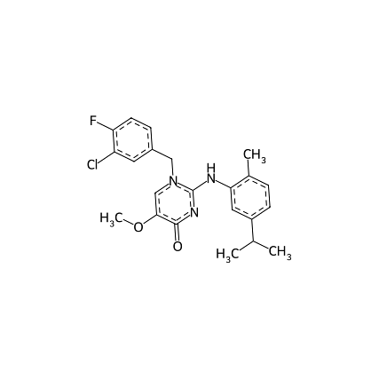 COc1cn(Cc2ccc(F)c(Cl)c2)c(Nc2cc(C(C)C)ccc2C)nc1=O